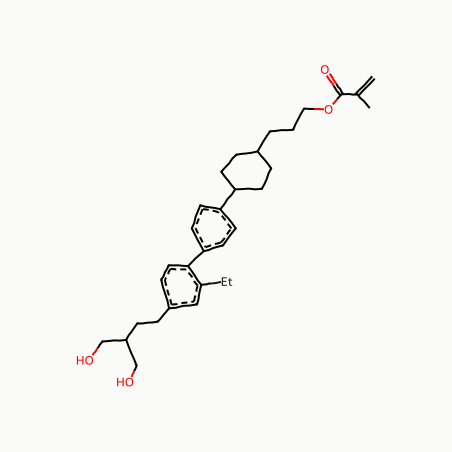 C=C(C)C(=O)OCCCC1CCC(c2ccc(-c3ccc(CCC(CO)CO)cc3CC)cc2)CC1